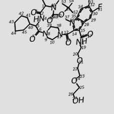 CC(C(=O)NC(C(=O)N1CCN(C(=O)c2c(C(=O)NCCOCCOCCO)c3cc(F)c(F)cc3n2C)CC1)C1CCCCC1)N(C)C(=O)OC(C)(C)C